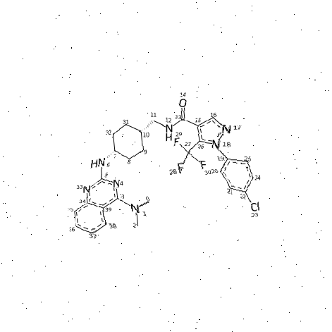 CN(C)c1nc(N[C@H]2CC[C@@H](CNC(=O)c3cnn(-c4ccc(Cl)cc4)c3C(F)(F)F)CC2)nc2ccccc12